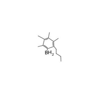 Bc1c(C)c(C)c(C)c(C)c1CCCC